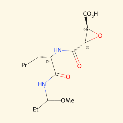 CCC(NC(=O)[C@H](CC(C)C)NC(=O)[C@H]1O[C@@H]1C(=O)O)OC